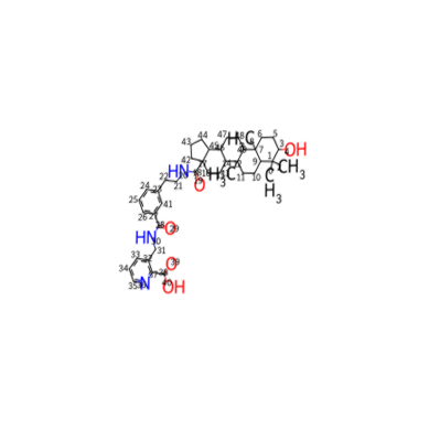 CC1(C)C(O)CCC2(C)C1CCC1(C)C3CCC4(C(=O)NCCc5cccc(C(=O)NCc6cccnc6C(=O)O)c5)CCCC4C3CCC12